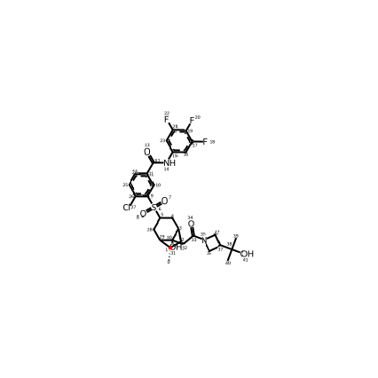 C[C@H]1CC2CC(S(=O)(=O)c3cc(C(=O)Nc4cc(F)c(F)c(F)c4)ccc3Cl)CC1[C@@]2(O)CC(=O)N1CC(C(C)(C)O)C1